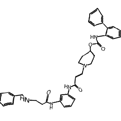 O=C(CCNCc1ccccc1)Nc1cccc(NC(=O)CCN2CCC(OC(=O)Nc3ccccc3-c3ccccc3)CC2)c1